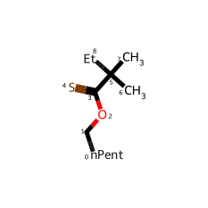 CCCCCCOC(=S)C(C)(C)CC